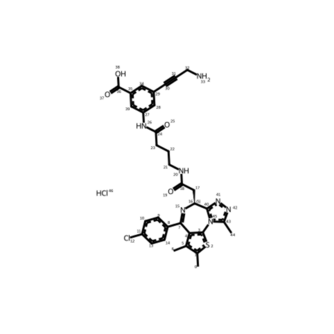 Cc1sc2c(c1C)C(c1ccc(Cl)cc1)=N[C@@H](CC(=O)NCCCC(=O)Nc1cc(C#CCN)cc(C(=O)O)c1)c1nnc(C)n1-2.Cl